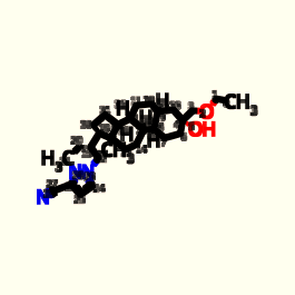 CCOC[C@@]1(O)CC[C@H]2[C@H](CC[C@@H]3[C@@H]2CC[C@]2(C)[C@@H]([C@@H](CC)Cn4ccc(C#N)n4)CC[C@@H]32)C1